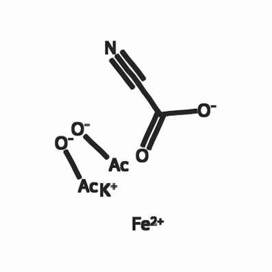 CC(=O)[O-].CC(=O)[O-].N#CC(=O)[O-].[Fe+2].[K+]